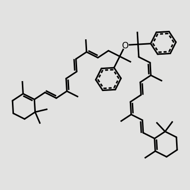 CC(C=CC1=C(C)CCCC1(C)C)=CC=CC(C)=CCC(C)(OC(C)(CC=C(C)C=CC=C(C)C=CC1=C(C)CCCC1(C)C)c1ccccc1)c1ccccc1